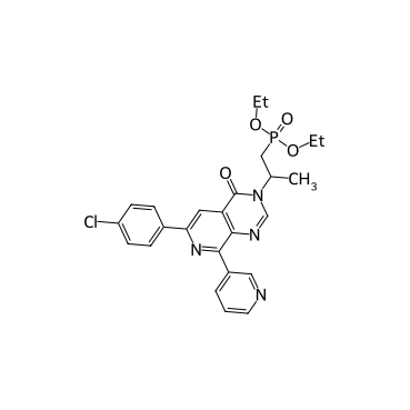 CCOP(=O)(CC(C)n1cnc2c(-c3cccnc3)nc(-c3ccc(Cl)cc3)cc2c1=O)OCC